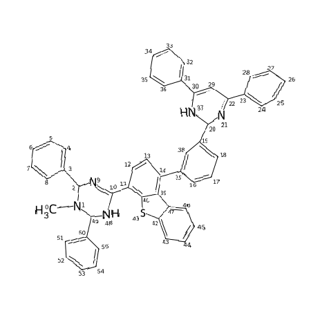 CN1C(c2ccccc2)N=C(c2ccc(-c3cccc(C4N=C(c5ccccc5)C=C(c5ccccc5)N4)c3)c3c2sc2ccccc23)NC1c1ccccc1